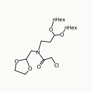 CCCCCCOC(CCN(CC1OCCO1)C(=O)CCl)OCCCCCC